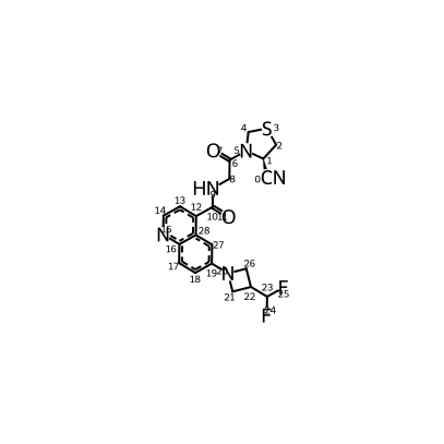 N#C[C@@H]1CSCN1C(=O)CNC(=O)c1ccnc2ccc(N3CC(C(F)F)C3)cc12